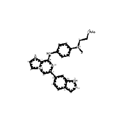 COCCN(C)c1ccc(Nc2nc(-c3ccc4cn[nH]c4c3)cn3ccnc23)cc1